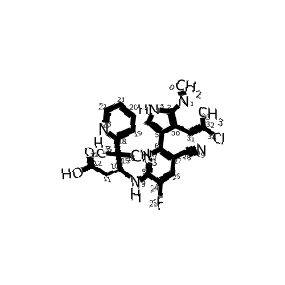 C=Nc1[nH]cc(-c2nc(N[C@@H](CC(=O)O)C(C)(C)c3ccccn3)c(F)cc2C#N)c1/C=C(\C)Cl